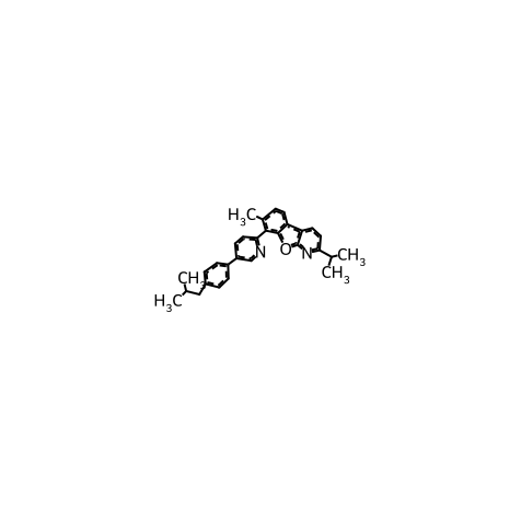 Cc1ccc2c(oc3nc(C(C)C)ccc32)c1-c1ccc(-c2ccc(CC(C)C)cc2)cn1